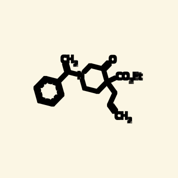 C=CCC1(C(=O)OCC)CCN(C(=C)c2ccccc2)CC1=O